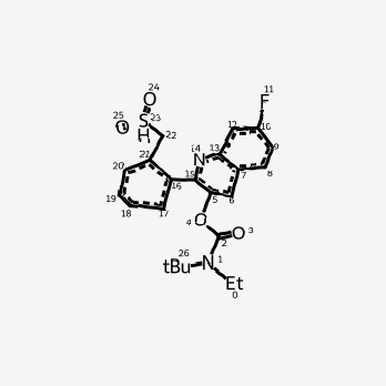 CCN(C(=O)Oc1cc2ccc(F)cc2nc1-c1ccccc1C[SH](=O)=O)C(C)(C)C